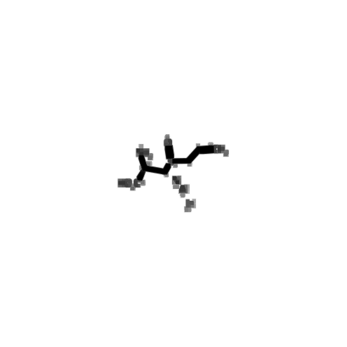 C=CCS(=O)C[C@H](N)C(=O)O.[Al].[In].[N]